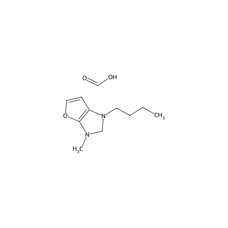 CCCCN1CN(C)c2occc21.O=CO